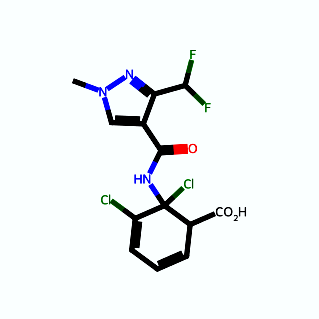 Cn1cc(C(=O)NC2(Cl)C(Cl)=CC=CC2C(=O)O)c(C(F)F)n1